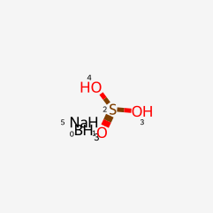 B.O=S(O)O.[NaH]